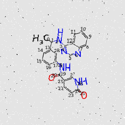 CC(Nc1ncnc2ccccc12)c1cccc(NC(=O)c2ccc(=O)[nH]c2)c1